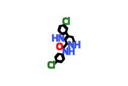 O=C(Nc1ccc(Cl)cc1)C1NCCc2c1[nH]c1ccc(Cl)cc21